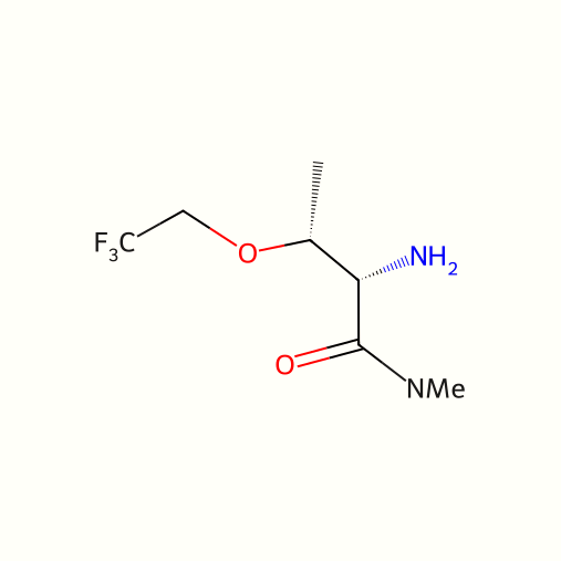 CNC(=O)[C@@H](N)[C@@H](C)OCC(F)(F)F